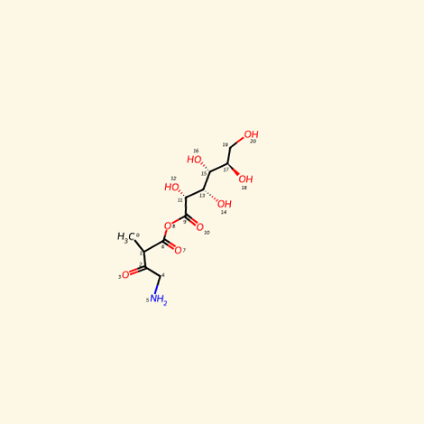 CC(C(=O)CN)C(=O)OC(=O)[C@H](O)[C@@H](O)[C@H](O)[C@H](O)CO